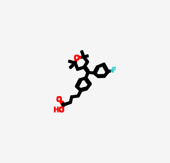 CC1(C)CC(=C(c2ccc(F)cc2)c2ccc(CCCC(=O)O)cc2)CC(C)(C)O1